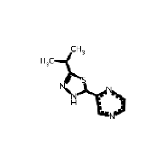 CC(C)C1=NNC(c2cnccn2)S1